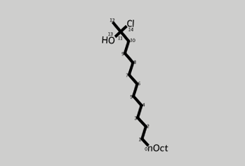 CCCCCCCCCCCCCCCCCCC(C)(O)Cl